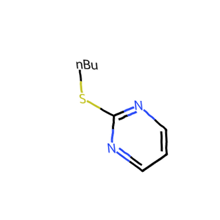 [CH2]CCCSc1ncccn1